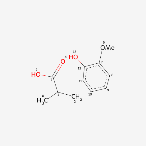 CC(C)C(=O)O.COc1ccccc1O